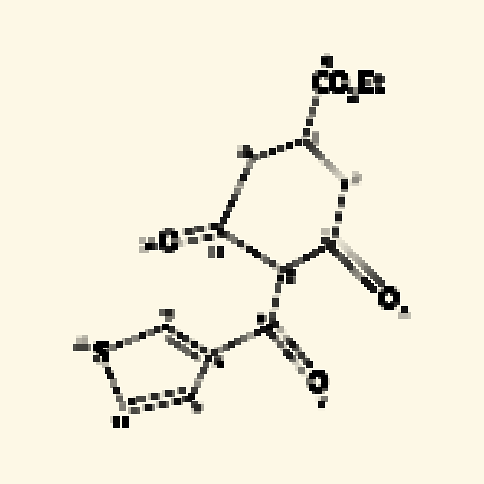 CCOC(=O)C1CC(=O)C(C(=O)c2ccsc2)C(=O)C1